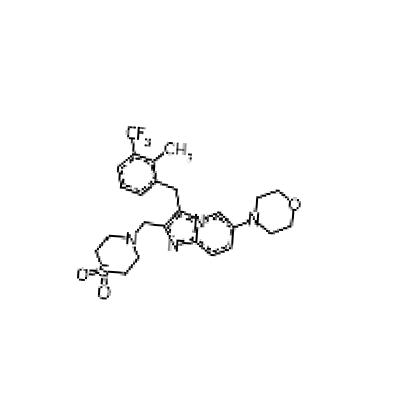 Cc1c(Cc2c(CN3CCS(=O)(=O)CC3)nc3ccc(N4CCOCC4)cn23)cccc1C(F)(F)F